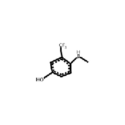 CBc1ccc(O)cc1C(F)(F)F